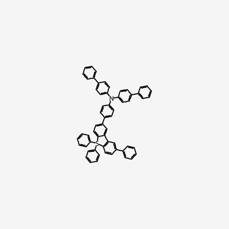 c1ccc(-c2ccc(N(c3ccc(-c4ccccc4)cc3)c3ccc(-c4ccc5c(c4)-c4cc(-c6ccccc6)ccc4S5(c4ccccc4)c4ccccc4)cc3)cc2)cc1